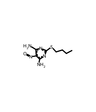 CCCCSc1nc(N)c(N=O)c(N)n1